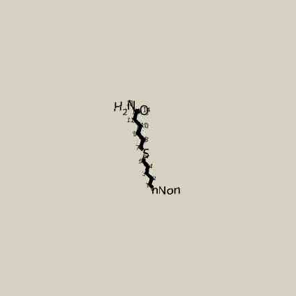 CCCCCCCCCCCCCCSCCCCCC(N)=O